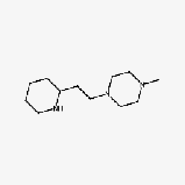 CN1CCN(CCC2CCCCN2)CC1